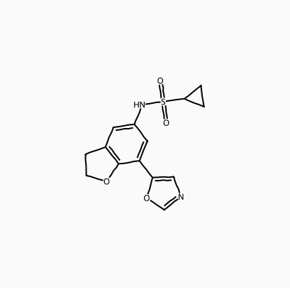 O=S(=O)(Nc1cc2c(c(-c3cnco3)c1)OCC2)C1CC1